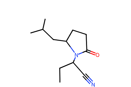 CCC(C#N)N1C(=O)CCC1CC(C)C